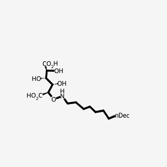 CCCCCCCCCCCCCCCCCNO[C@@H](C(=O)O)[C@@H](O)[C@H](O)[C@H](O)C(=O)O